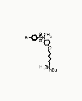 CCCCN(C)CCCCCCO[C@H]1CC[C@H](N(C)S(=O)(=O)c2ccc(Br)cc2)CC1